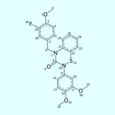 COc1ccc(CN2C(=O)N(c3ccc(OC)c(OC)c3)Sc3ccccc32)cc1F